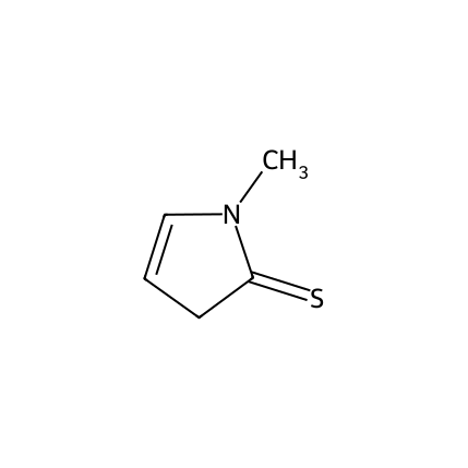 CN1C=CCC1=S